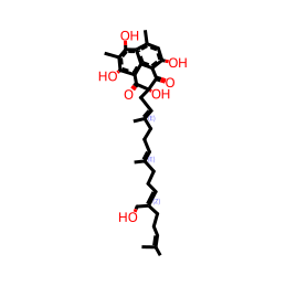 CC(C)=CCC/C(=C/CC/C(C)=C/CC/C(C)=C/CC1(O)C(=O)c2c(O)cc(C)c3c(O)c(C)c(O)c(c23)C1=O)CO